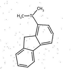 [CH3][Ti]([CH3])[c]1cccc2c1Cc1ccccc1-2